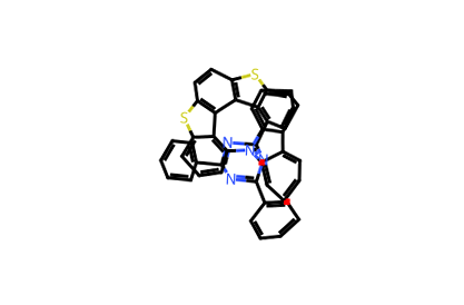 c1ccc(-c2nc(-c3ccccc3)nc(-c3cccc4sc5ccc6sc7cccc(-n8c9ccccc9c9ccccc98)c7c6c5c34)n2)cc1